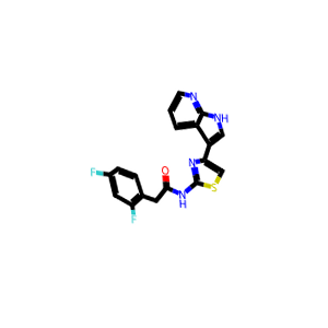 O=C(Cc1ccc(F)cc1F)Nc1nc(-c2c[nH]c3ncccc23)cs1